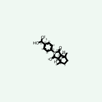 CC12CCC(C)(O1)[C@H]1C(=O)N(c3ccc(C(O)C(F)(F)F)cc3)C(=O)[C@H]12